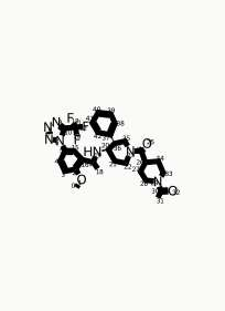 COc1ccc(-n2nnnc2C(F)(F)F)cc1C(C)N[C@H]1CCN(C(=O)C2CCN(C(C)=O)CC2)C[C@H]1c1ccccc1